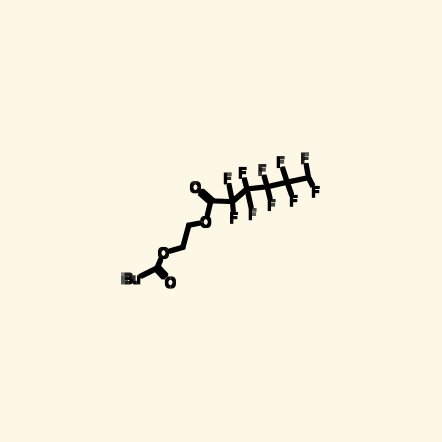 CCC(C)C(=O)OCCOC(=O)C(F)(F)C(F)(F)C(F)(F)C(F)(F)C(F)F